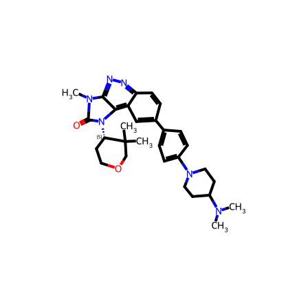 CN(C)C1CCN(c2ccc(-c3ccc4nnc5c(c4c3)n([C@H]3CCOCC3(C)C)c(=O)n5C)cc2)CC1